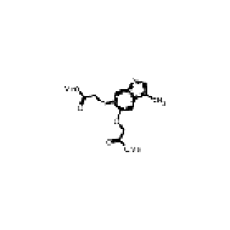 COC(=O)COc1cc2scc(C)c2cc1OCC(=O)OC